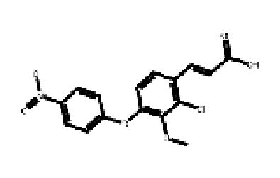 COc1c(Oc2ccc([N+](=O)[O-])cc2)ccc(C=CC(=O)O)c1Cl